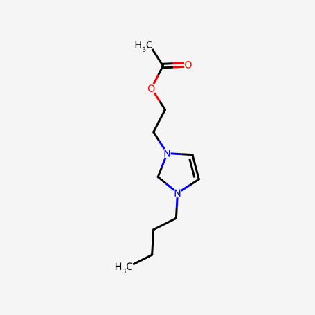 CCCCN1C=CN(CCOC(C)=O)C1